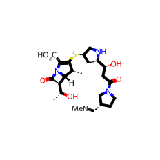 CNC[C@H]1CCN(C(=O)C[C@@H](O)[C@@H]2C[C@H](SC3=C(C(=O)O)N4C(=O)[C@H]([C@@H](C)O)[C@H]4[C@H]3C)CN2)C1